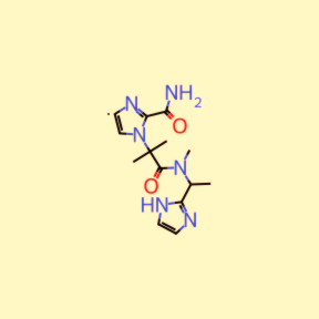 CC(c1ncc[nH]1)N(C)C(=O)C(C)(C)n1c[c]nc1C(N)=O